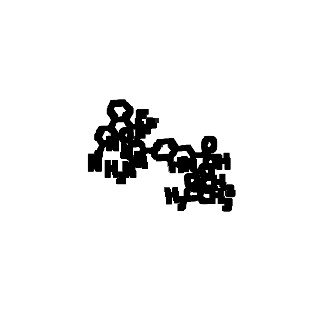 CC(C)(C)OC(=O)NC(Cc1ccc(-c2cc(OC(c3ccccc3-c3ccc(C#N)nc3)C(F)(F)F)nc(N)n2)cc1)C(=O)O